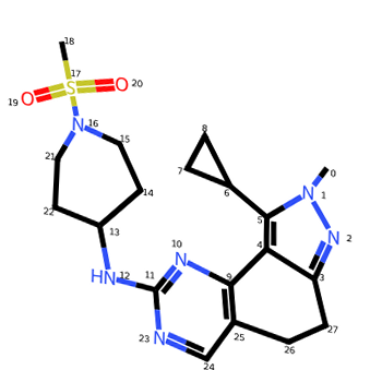 Cn1nc2c(c1C1CC1)-c1nc(NC3CCN(S(C)(=O)=O)CC3)ncc1CC2